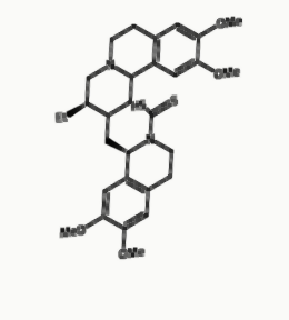 CC[C@H]1CN2CCc3cc(OC)c(OC)cc3C2CC1C[C@@H]1c2cc(OC)c(OC)cc2CCN1C(=S)S